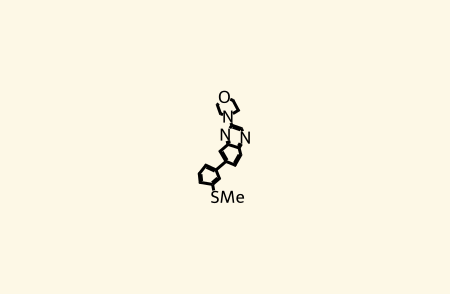 CSc1cccc(-c2ccc3ncc(N4CCOCC4)nc3c2)c1